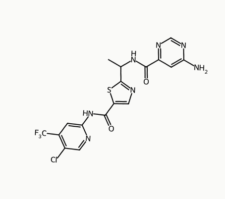 CC(NC(=O)c1cc(N)ncn1)c1ncc(C(=O)Nc2cc(C(F)(F)F)c(Cl)cn2)s1